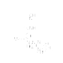 CCC1(C)CN(C2CCCCC2)c2nc(Nc3ccc(C(=O)NC4CCN(C)CC4)cc3OC)ncc2N(C)C1=O